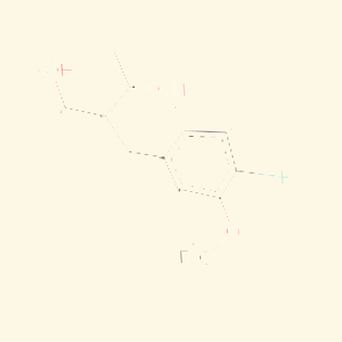 CC(O)C(CO)Cc1ccc(F)c(OC(F)(F)F)c1